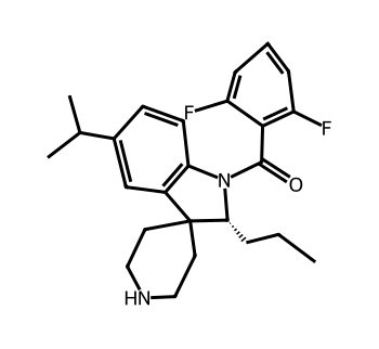 CCC[C@H]1N(C(=O)c2c(F)cccc2F)c2ccc(C(C)C)cc2C12CCNCC2